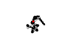 CC(C)(C)C(=O)OC[C@H]1O[C@@H](Sc2ccccc2)[C@H](OC(=O)C(C)(C)C)[C@@H](OC(=O)C(C)(C)C)[C@H]1OC(=O)C(C)(C)C.CCCCCCCC[S+]([O-])C(C)Cc1ccc2c(c1)OCO2